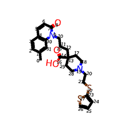 Cc1ccc2ccc(=O)n(CCCC3(C(=O)O)CCN(CCSc4cccs4)CC3)c2c1